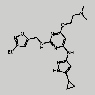 CCc1cc(CNc2nc(Nc3cc(C4CC4)[nH]n3)cc(OCCN(C)C)n2)on1